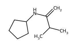 C=C(NC1CCCC1)C(C)C